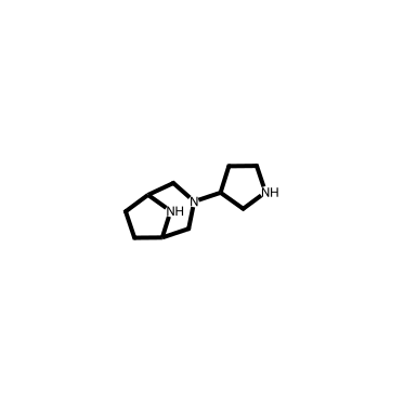 C1C[C](N2CC3CCC(C2)N3)CN1